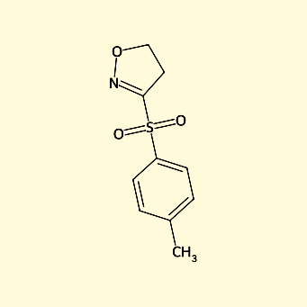 Cc1ccc(S(=O)(=O)C2=NOCC2)cc1